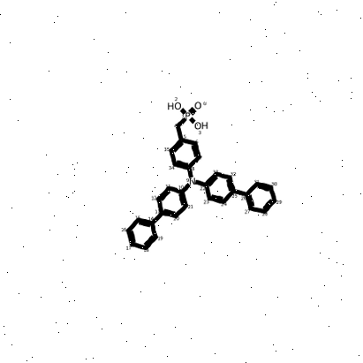 O=P(O)(O)Cc1ccc(N(c2ccc(-c3ccccc3)cc2)c2ccc(-c3ccccc3)cc2)cc1